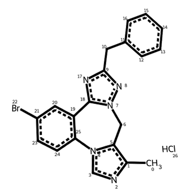 Cc1ncn2c1Cn1nc(Cc3ccccc3)nc1-c1cc(Br)ccc1-2.Cl